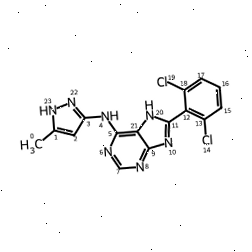 Cc1cc(Nc2ncnc3nc(-c4c(Cl)cccc4Cl)[nH]c23)n[nH]1